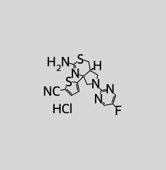 Cl.N#Cc1ccc(C23CN(c4ncc(F)cn4)C[C@H]2CSC(N)=N3)s1